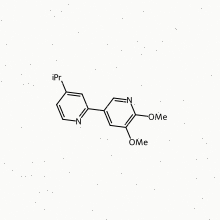 COc1cc(-c2cc(C(C)C)ccn2)cnc1OC